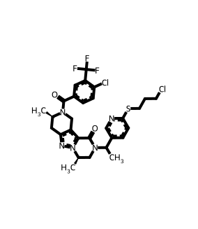 CC(c1ccc(SCCCCl)nc1)N1C[C@@H](C)n2nc3c(c2C1=O)CN(C(=O)c1ccc(Cl)c(C(F)(F)F)c1)[C@H](C)C3